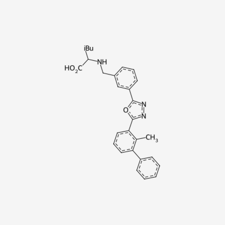 CCC(C)C(NCc1cccc(-c2nnc(-c3cccc(-c4ccccc4)c3C)o2)c1)C(=O)O